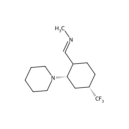 C/N=C/C1CC[C@H](C(F)(F)F)C[C@@H]1N1CCCCC1